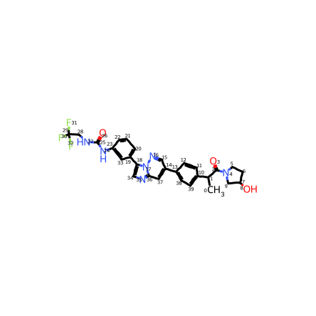 CC(C(=O)N1CCC(O)C1)c1ccc(-c2cnn3c(-c4cccc(NC(=O)NCC(F)(F)F)c4)cnc3c2)cc1